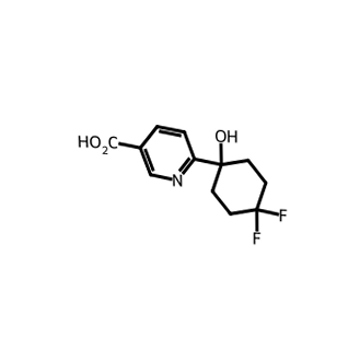 O=C(O)c1ccc(C2(O)CCC(F)(F)CC2)nc1